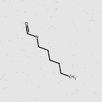 [CH2]CCCCC[N]C=O